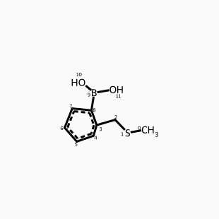 CSCc1ccccc1B(O)O